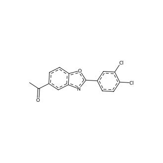 CC(=O)c1ccc2oc(-c3ccc(Cl)c(Cl)c3)nc2c1